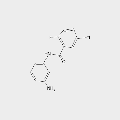 Nc1cccc(NC(=O)c2cc(Cl)ccc2F)c1